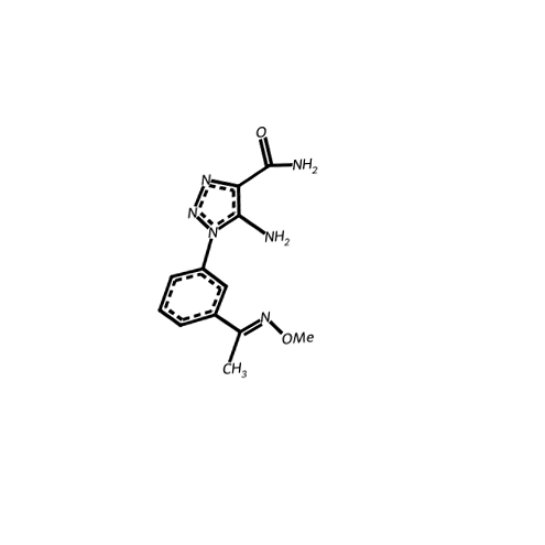 CON=C(C)c1cccc(-n2nnc(C(N)=O)c2N)c1